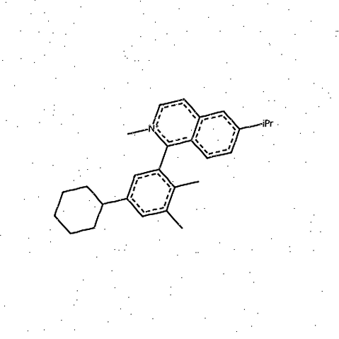 Cc1cc(C2CCCCC2)cc(-c2c3ccc(C(C)C)cc3cc[n+]2C)c1C